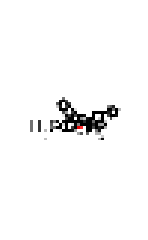 CC1CC2CC(C)C3(c4ccc(-c5ccc(-c6ccccc6)c6cccnc56)cc4-c4cc5ccccc5cc43)C(C1)C2